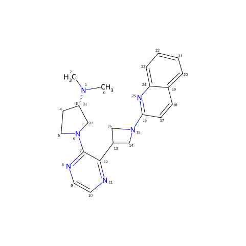 CN(C)[C@H]1CCN(c2nccnc2C2CN(c3ccc4ccccc4n3)C2)C1